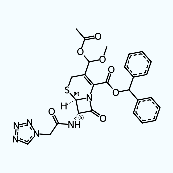 COC(OC(C)=O)C1=C(C(=O)OC(c2ccccc2)c2ccccc2)N2C(=O)[C@H](NC(=O)Cn3cnnn3)[C@H]2SC1